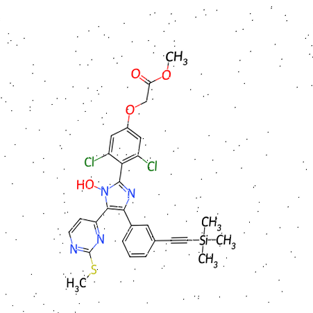 COC(=O)COc1cc(Cl)c(-c2nc(-c3cccc(C#C[Si](C)(C)C)c3)c(-c3ccnc(SC)n3)n2O)c(Cl)c1